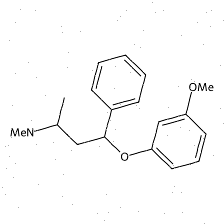 CNC(C)CC(Oc1cccc(OC)c1)c1ccccc1